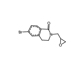 O=C1c2ccc(Br)cc2CCN1CC1CO1